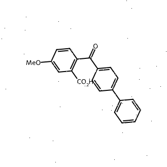 COc1ccc(C(=O)c2ccc(-c3ccccc3)cc2)c(C(=O)O)c1